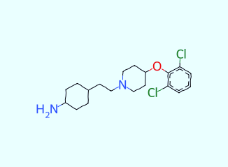 NC1CCC(CCN2CCC(Oc3c(Cl)cccc3Cl)CC2)CC1